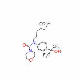 CC(CCCN(C(=O)N1CCOCC1)c1ccc(C(O)(C(F)(F)F)C(F)(F)F)cc1)C(=O)O